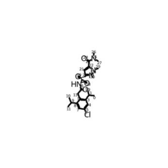 CC(C)c1cc(Cl)cc(C(C)C)c1CC(=O)NS(=O)(=O)c1cc(C(=O)N(C)C)n(C)n1